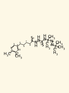 Cc1ccc(CCCCC(=S)NNC(=S)NC(C)(C)N=NC(C)(C)C)cc1C